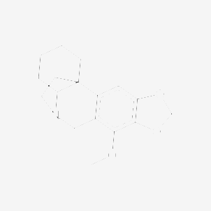 COc1c2c(cc3c1OCO3)C13CCCCC1N(CC3)C2